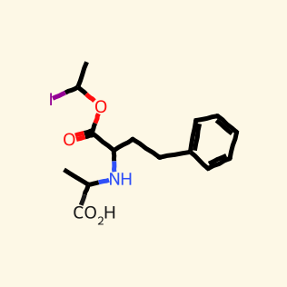 CC(I)OC(=O)C(CCc1ccccc1)NC(C)C(=O)O